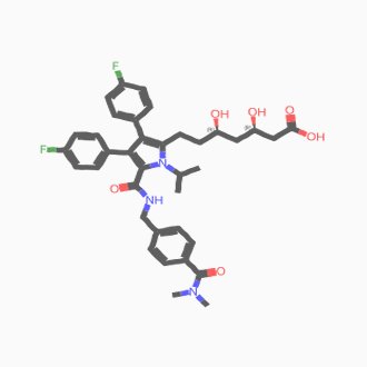 CC(C)n1c(CC[C@@H](O)C[C@@H](O)CC(=O)O)c(-c2ccc(F)cc2)c(-c2ccc(F)cc2)c1C(=O)NCc1ccc(C(=O)N(C)C)cc1